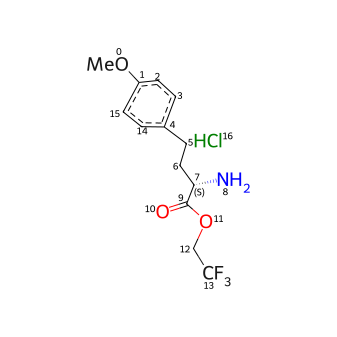 COc1ccc(CC[C@H](N)C(=O)OCC(F)(F)F)cc1.Cl